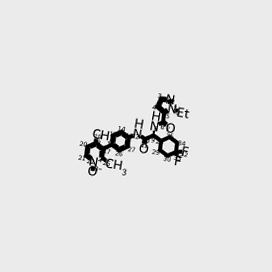 CCn1nccc1C(=O)N[C@H](C(=O)Nc1ccc(-c2c(C)cc[n+]([O-])c2C)cc1)C1CCC(F)(F)CC1